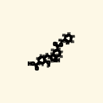 COc1cc(C(=O)O)ccc1Cc1c[nH]c2ccc(C(=O)OCc3ccccc3)cc12